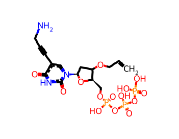 C=CCOC1C[C@H](n2cc(C#CCN)c(=O)[nH]c2=O)O[C@@H]1COP(=O)(O)OP(=O)(O)OP(=O)(O)O